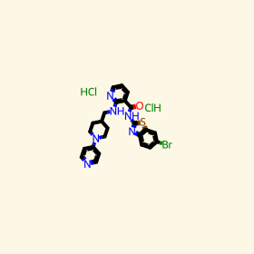 Cl.Cl.O=C(Nc1nc2ccc(Br)cc2s1)c1cccnc1NCC1CCN(c2ccncc2)CC1